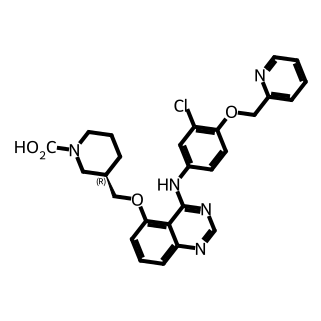 O=C(O)N1CCC[C@@H](COc2cccc3ncnc(Nc4ccc(OCc5ccccn5)c(Cl)c4)c23)C1